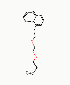 O=CCCOCCOCCc1cccc2ccccc12